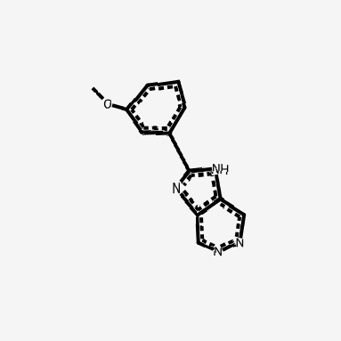 COc1cccc(-c2nc3cnncc3[nH]2)c1